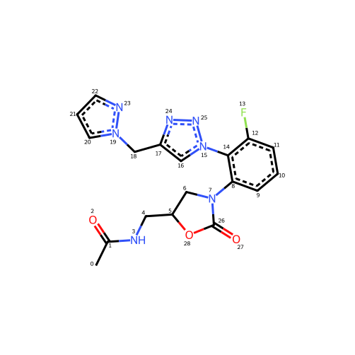 CC(=O)NCC1CN(c2cccc(F)c2-n2cc(Cn3cccn3)nn2)C(=O)O1